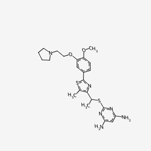 COc1ccc(-c2nc(C(C)Sc3nc(N)cc(N)n3)c(C)s2)cc1OCCN1CCCC1